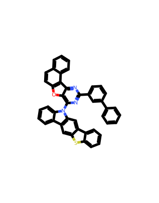 c1ccc(-c2cccc(-c3nc(-n4c5ccccc5c5cc6sc7ccccc7c6cc54)c4oc5ccc6ccccc6c5c4n3)c2)cc1